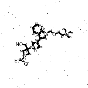 CC[S+]([O-])N1CC(CC#N)(n2cc(-c3cn(COCC[Si](C)(C)C)c4ncccc34)cn2)C1